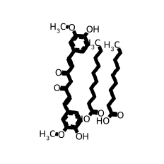 CCCCCCCCCC(=O)O.CCCCCCCCCC(=O)O.COc1cc(/C=C/C(=O)CC(=O)/C=C/c2ccc(O)c(OC)c2)ccc1O